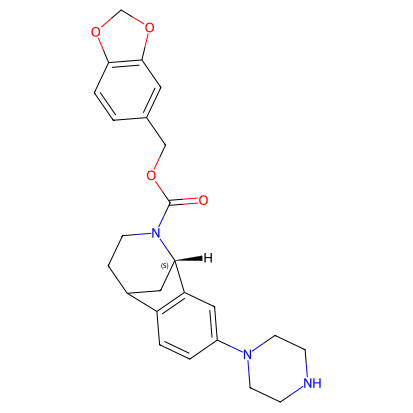 O=C(OCc1ccc2c(c1)OCO2)N1CCC2C[C@H]1c1cc(N3CCNCC3)ccc12